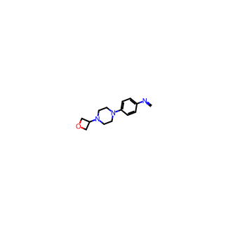 C=Nc1ccc(N2CCN(C3COC3)CC2)cc1